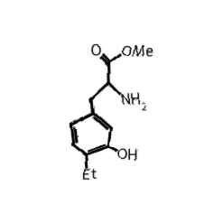 CCc1ccc(CC(N)C(=O)OC)cc1O